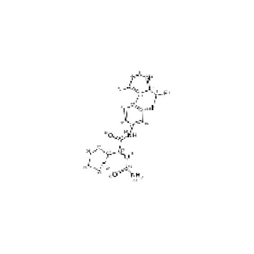 Cc1ccnc(C(F)F)c1-c1ccc(NC(=O)[C@@H](OC(N)=O)C2CCCCC2)cc1